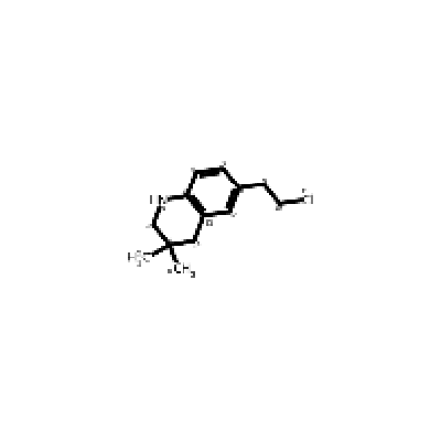 CC1(C)CNc2ccc(CCCl)cc2C1